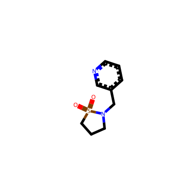 O=S1(=O)CCCN1Cc1cccnc1